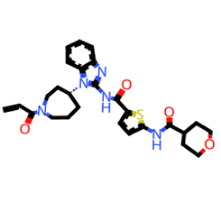 C=CC(=O)N1CCC[C@@H](n2c(NC(=O)c3ccc(NC(=O)C4CCOCC4)s3)nc3ccccc32)CC1